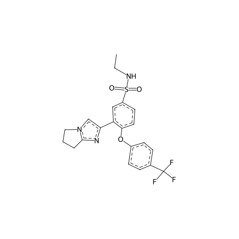 CCNS(=O)(=O)c1ccc(Oc2ccc(C(F)(F)F)cc2)c(-c2cn3c(n2)CCC3)c1